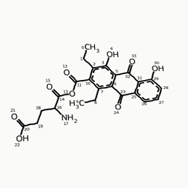 CCc1c(O)c2c(c(CC)c1C(=O)OC(=O)C(N)CCC(=O)O)C(=O)c1cccc(O)c1C2=O